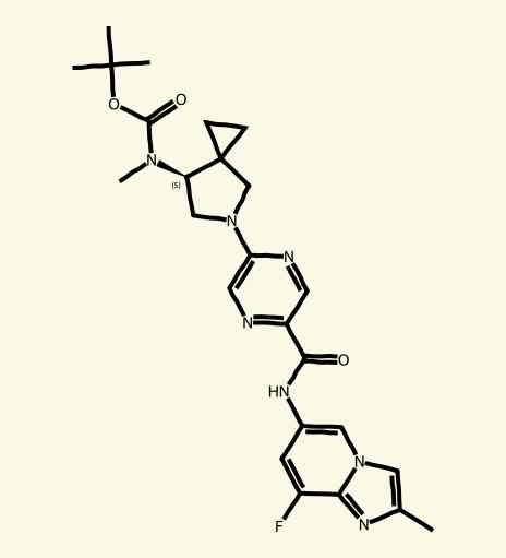 Cc1cn2cc(NC(=O)c3cnc(N4C[C@@H](N(C)C(=O)OC(C)(C)C)C5(CC5)C4)cn3)cc(F)c2n1